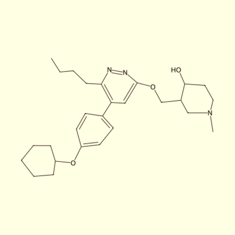 CCCCc1nnc(OCC2CN(C)CCC2O)cc1-c1ccc(OC2CCCCC2)cc1